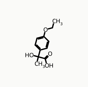 CCOc1ccc(C(C)(O)C(=O)O)cc1